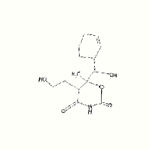 CC1(C(O)C2C=CCCC2)OC(=O)NC(=O)C1CCO